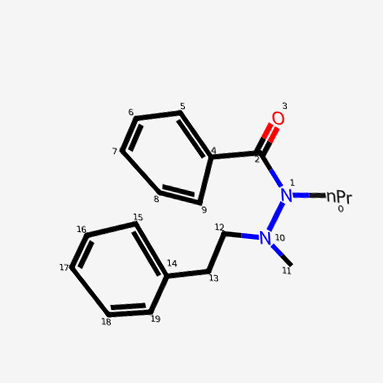 CCCN(C(=O)c1ccccc1)N(C)CCc1ccccc1